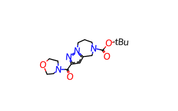 CC(C)(C)OC(=O)N1CCCn2nc(C(=O)N3CCOCC3)cc2C1